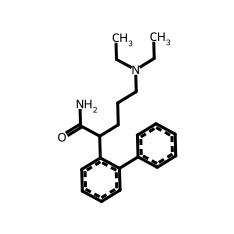 CCN(CC)CCCC(C(N)=O)c1ccccc1-c1ccccc1